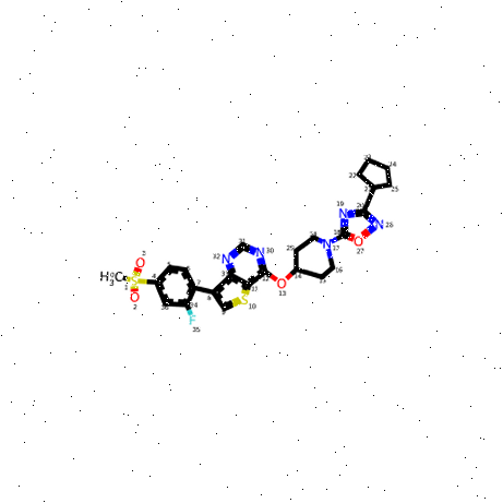 CS(=O)(=O)c1ccc(-c2csc3c(OC4CCN(c5nc(C6CCCC6)no5)CC4)ncnc23)c(F)c1